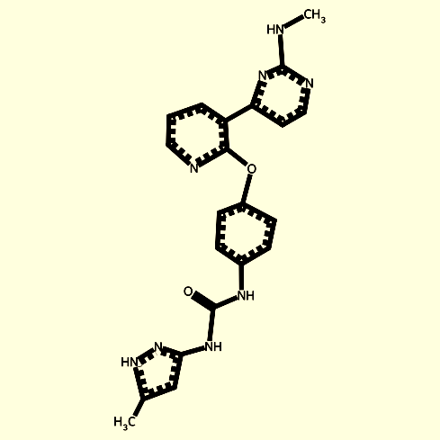 CNc1nccc(-c2cccnc2Oc2ccc(NC(=O)Nc3cc(C)[nH]n3)cc2)n1